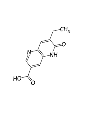 CCc1cc2ncc(C(=O)O)cc2[nH]c1=O